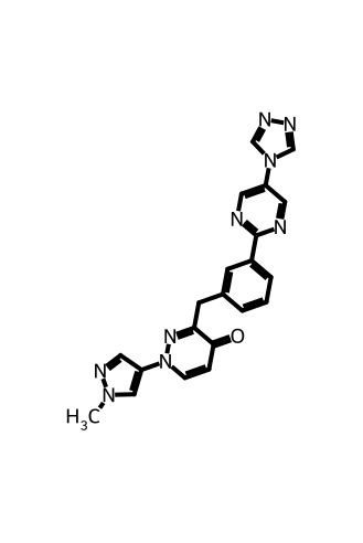 Cn1cc(-n2ccc(=O)c(Cc3cccc(-c4ncc(-n5cnnc5)cn4)c3)n2)cn1